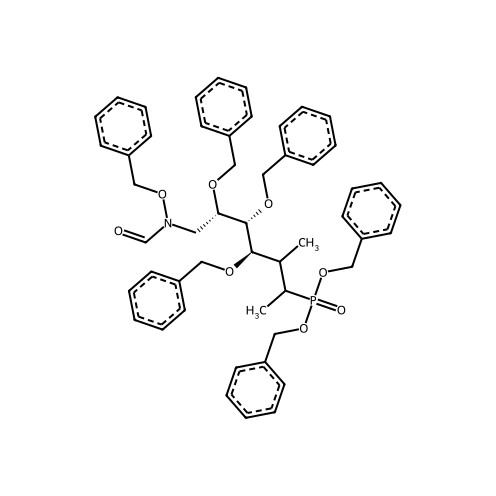 CC(C(C)P(=O)(OCc1ccccc1)OCc1ccccc1)[C@@H](OCc1ccccc1)[C@@H](OCc1ccccc1)[C@H](CN(C=O)OCc1ccccc1)OCc1ccccc1